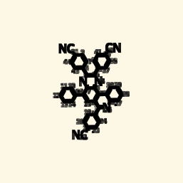 N#Cc1ccc(-c2nc3c(-c4ccccc4)cc4c(-c5ccc(C#N)cc5)nc5ccccc5c4c3nc2-c2ccc(C#N)cc2)cc1